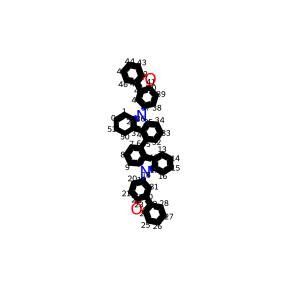 C1=Cc2c(c3c(-c4cccc5c4c4ccccc4n5-c4ccc5oc6ccccc6c5c4)cccc3n2-c2ccc3oc4ccccc4c3c2)CC1